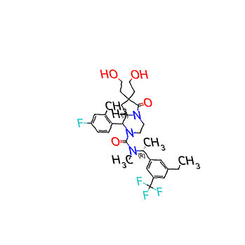 CCc1cc([C@@H](C)N(C)C(=O)N2CCN3C(=O)C(CCO)(CCO)C[C@H]3C2c2ccc(F)cc2C)cc(C(F)(F)F)c1